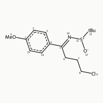 COc1ccc(C(CCCCl)=N[S+]([O-])C(C)(C)C)cc1